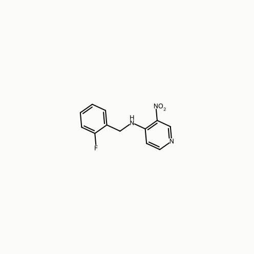 O=[N+]([O-])c1cnccc1NCc1ccccc1F